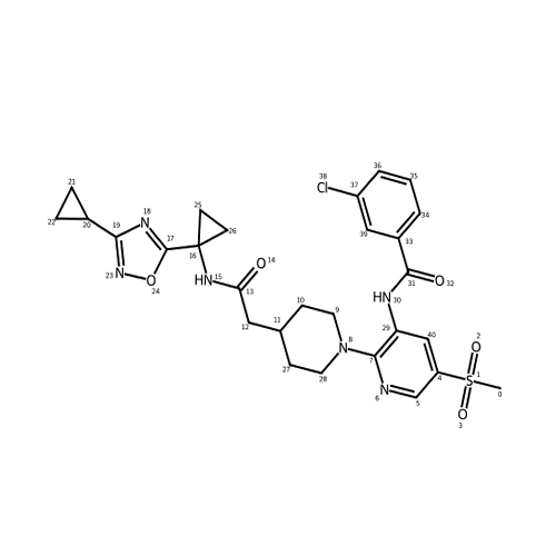 CS(=O)(=O)c1cnc(N2CCC(CC(=O)NC3(c4nc(C5CC5)no4)CC3)CC2)c(NC(=O)c2cccc(Cl)c2)c1